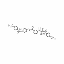 Cc1ccc(S(=O)(=O)Cc2ccc(COC(=O)c3cccc(NC(=O)NS(=O)(=O)c4ccc(C)cc4)c3)cc2)cc1